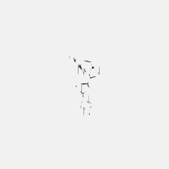 CN1CCN(c2ncc(-c3cnc4ccc(C=O)nn34)s2)CC1